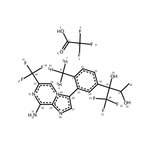 O=C(O)C(F)(F)F.[2H]C([2H])([2H])c1ccc(C(O)(C(C)O)C(F)(F)F)cc1-c1cnc2c(N)nc(C(F)(F)F)cn12